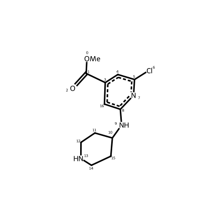 COC(=O)c1cc(Cl)nc(NC2CCNCC2)c1